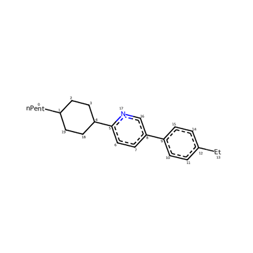 CCCCCC1CCC(c2ccc(-c3ccc(CC)cc3)cn2)CC1